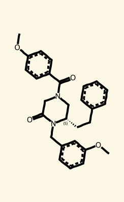 COc1ccc(C(=O)N2CC(=O)N(Cc3cccc(OC)c3)[C@@H](CCc3ccccc3)C2)cc1